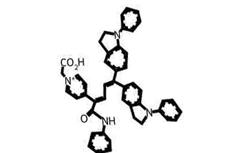 O=C(O)C[n+]1ccc(/C(=C\C=C(c2ccc3c(c2)CCN3c2ccccc2)c2ccc3c(c2)CCN3c2ccccc2)C(=O)Nc2ccccc2)cc1